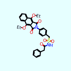 CCOc1c2c(c(OCC)c3ccccc13)C(=O)N(c1ccc(CS(=O)(=O)NC(=O)Cc3ccccc3)cc1)C2=O